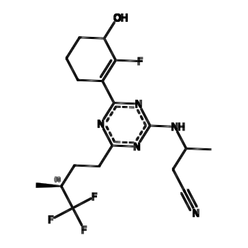 CC(CC#N)Nc1nc(CC[C@H](C)C(F)(F)F)nc(C2=C(F)C(O)CCC2)n1